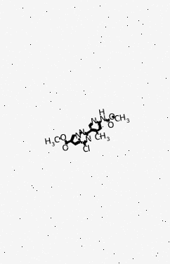 COC(=O)Nc1cc(C)c(-c2nc(Cl)c3cc(C(=O)OC)cn3n2)cn1